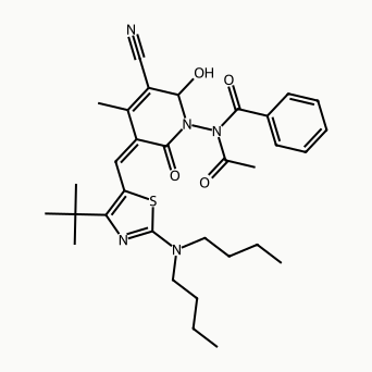 CCCCN(CCCC)c1nc(C(C)(C)C)c(/C=C2\C(=O)N(N(C(C)=O)C(=O)c3ccccc3)C(O)C(C#N)=C2C)s1